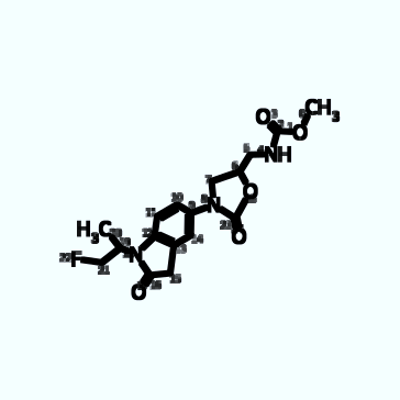 COC(=O)NCC1CN(c2ccc3c(c2)CC(=O)N3C(C)CF)C(=O)O1